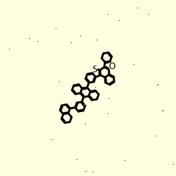 C1=Cc2cccc(-c3cccc(-c4c5c(c(-c6ccc7sc8c9c%10c(oc9c9ccccc9c8c7c6)C=CCC%10)c6ccccc46)=CCCC=5)c3)c2CC1